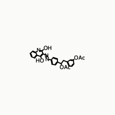 CC(=O)Oc1cccc(CC(OC(C)=O)c2ccc(N=Nc3c(O)nc4ccccc4c3O)cc2)c1